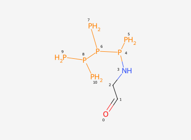 O=CCNP(P)P(P)P(P)P